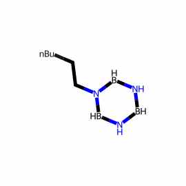 CCCCCCN1BNBNB1